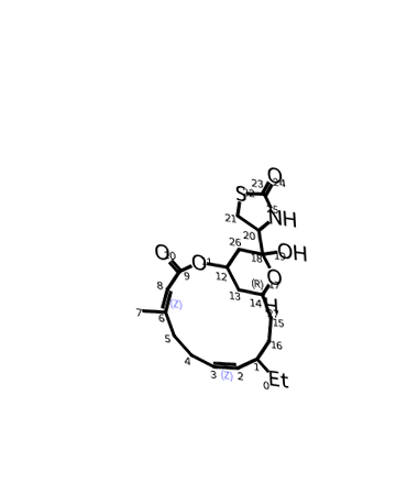 CCC1/C=C\CC/C(C)=C\C(=O)OC2C[C@@H](CC1)OC(O)(C1CSC(=O)N1)C2